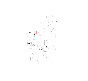 C#CC1=C(/C=C\C)C(C)(C)c2c1n1c3c(cccc23)-c2cc3oc4ccccc4c3c3c2B1c1c(ccc2c1C1=CCCC=C1C2(C)C)N3c1ccc(CCCC)cc1-c1ccccc1